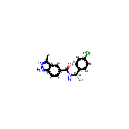 Cc1n[nH]c2ccc(C(=O)N[C@@H](C)c3ccc(Br)cc3)cc12